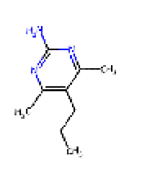 CCCc1c(C)nc(N)nc1C